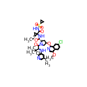 CC[C@@H]1C[C@]1(NC(=O)[C@@H]1C[C@@H](Oc2ncc(OC)c3ccc(Cl)cc23)CN1C(=O)C(Nc1cncc(C)c1)C(C)(C)C)C(=O)NS(=O)(=O)C1CC1